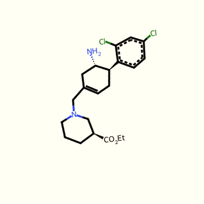 CCOC(=O)[C@H]1CCCN(CC2=CC[C@H](c3ccc(Cl)cc3Cl)[C@@H](N)C2)C1